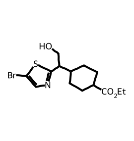 CCOC(=O)C1CCC(C(CO)c2ncc(Br)s2)CC1